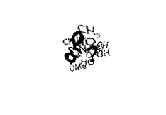 COc1ccc(Sc2cn([C@@H]3O[C@H](CO)[C@@H](O)[C@H](O)[C@H]3O)c3cc(C)cc(Cl)c23)c(F)c1